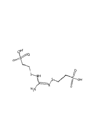 NC(=NSCCS(=O)(=O)O)NSCCS(=O)(=O)O